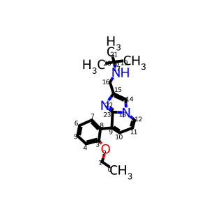 CCOc1ccccc1-c1cccn2cc(CNC(C)(C)C)nc12